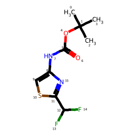 CC(C)(C)OC(=O)Nc1csc(C(F)F)n1